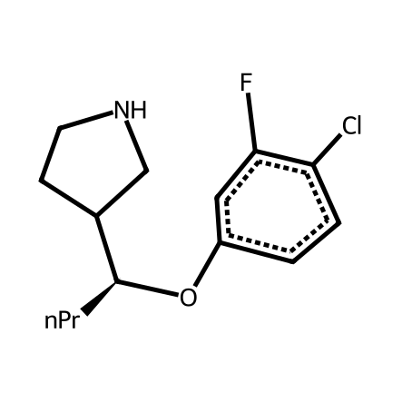 CCC[C@H](Oc1ccc(Cl)c(F)c1)C1CCNC1